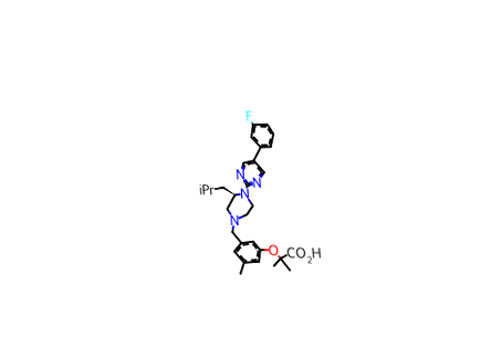 Cc1cc(CN2CCN(c3ncc(-c4cccc(F)c4)cn3)[C@H](CC(C)C)C2)cc(OC(C)(C)C(=O)O)c1